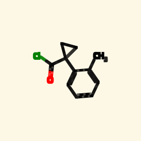 Cc1ccccc1C1(C(=O)Cl)CC1